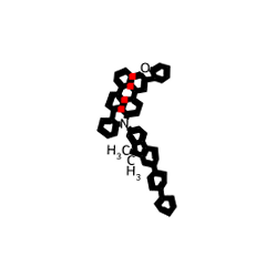 CC1(C)c2cc(-c3ccc(-c4ccccc4)cc3)ccc2-c2ccc(N(c3ccc(-c4ccc5oc6ccccc6c5c4)cc3)c3ccccc3-c3ccc(-c4ccccc4)cc3)cc21